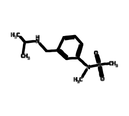 CC(C)NCc1cccc(N(C)S(C)(=O)=O)c1